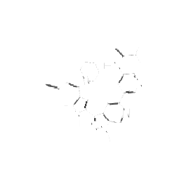 C=C/C=C(\c1cc(-c2n[nH]c3cnc(-c4cncc(NC(=C)C(C)C)c4)cc23)[nH]c1C)N1CCCCC1